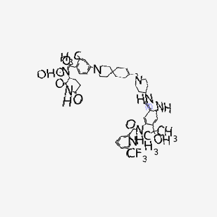 Cc1cc(N2CCC3(CCC(CN4CCC(N/C=C5/C=C(NC(=O)c6cccc(C(F)(F)F)n6)C(C(C)(C)O)=CC5=N)CC4)CC3)CC2)ccc1C(=O)N(C=O)C1CCC(=O)NC1=O